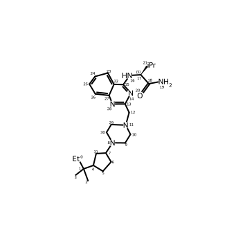 CCC(C)(C)C1CCC(N2CCN(Cc3nc(N[C@H](C(N)=O)C(C)C)c4ccccc4n3)CC2)C1